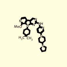 COc1nccc2c3cnc(Nc4ccc(N5CCC(N6CCCC6)CC5)cn4)nc3n(C3CCC(C)(C)CC3)c12